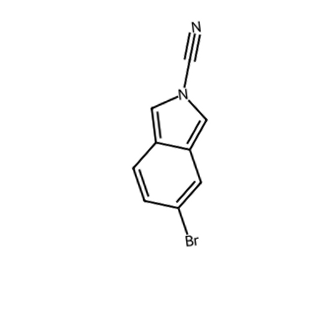 N#Cn1cc2ccc(Br)cc2c1